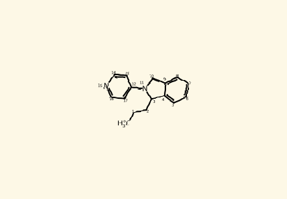 CCCC1c2ccccc2CN1c1ccncc1